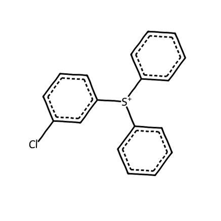 Clc1cccc([S+](c2ccccc2)c2ccccc2)c1